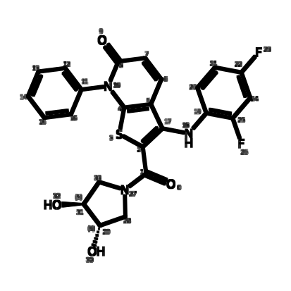 O=C(c1sc2c(ccc(=O)n2-c2ccccc2)c1Nc1ccc(F)cc1F)N1C[C@H](O)[C@@H](O)C1